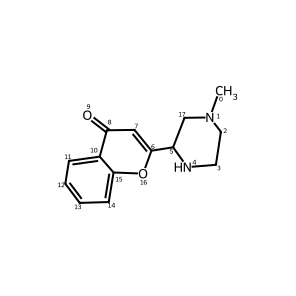 CN1CCNC(c2cc(=O)c3ccccc3o2)C1